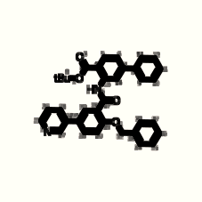 CC(C)(C)OC(=O)c1ccc(-c2ccccc2)cc1NC(=O)c1cc(-c2cccnc2)ccc1OCc1ccccc1